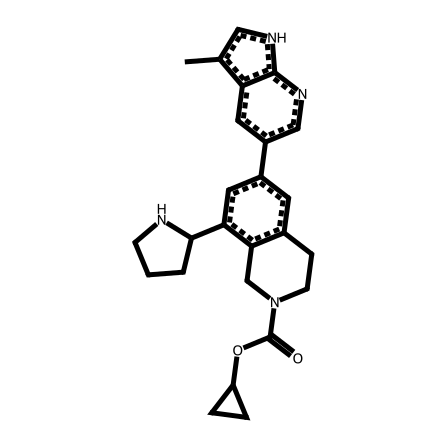 Cc1c[nH]c2ncc(-c3cc4c(c(C5CCCN5)c3)CN(C(=O)OC3CC3)CC4)cc12